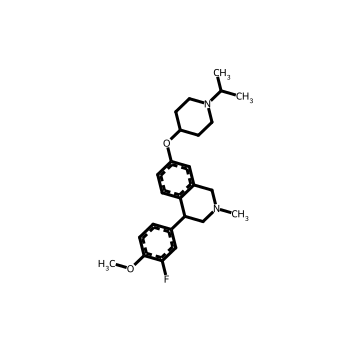 COc1ccc(C2CN(C)Cc3cc(OC4CCN(C(C)C)CC4)ccc32)cc1F